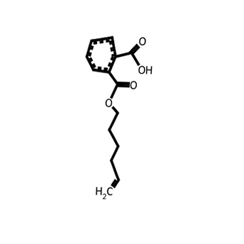 C=CCCCCOC(=O)c1ccccc1C(=O)O